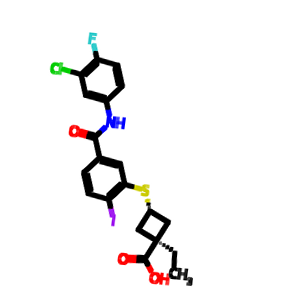 CC[C@]1(C(=O)O)C[C@H](Sc2cc(C(=O)Nc3ccc(F)c(Cl)c3)ccc2I)C1